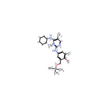 CC(C)(C)[Si](C)(C)OCc1cc(Nc2ncc(C(F)(F)F)c(N[C@@H]3CCCC[C@H]3C#N)n2)cc(Cl)c1Br